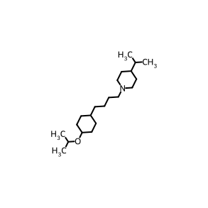 CC(C)OC1CCC(CCCCN2CCC(C(C)C)CC2)CC1